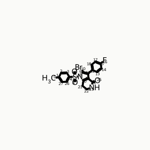 Cc1ccc(S(=O)(=O)n2c(Br)c(-c3ccc(F)cc3)c3c2CCNC3=O)cc1